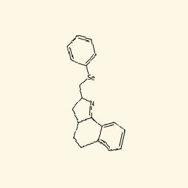 c1ccc([Se]CC2CC3CCc4ccccc4C3=N2)cc1